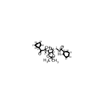 CN(C[C@]12CO[C@H](CNC(=O)c3ccccc3)C1OC(C)(C)O2)C(=O)c1ccccc1